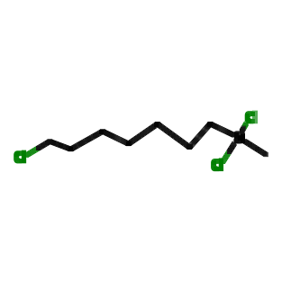 C[Si](Cl)(Cl)CCCCCCCCl